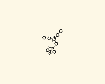 CC1(C)c2ccccc2C2(c3ccccc3-c3ccccc32)c2ccc(-c3cccc(-c4cc(-c5ccc(-c6ccccc6)cc5)nc(-c5ccc(-c6ccccc6)cc5)n4)c3)cc21